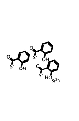 O=C([S-])c1ccccc1O.O=C([S-])c1ccccc1O.O=C([S-])c1ccccc1O.[Bi+3]